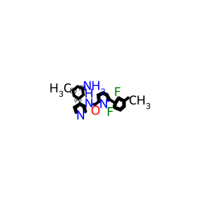 CCc1ccc(F)c(-c2cccc(C(=O)Nc3cnccc3[C@@H]3C[C@H](C)C[C@@H](N)C3)n2)c1F